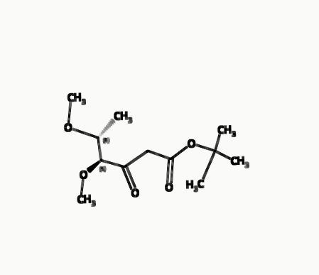 CO[C@H](C(=O)CC(=O)OC(C)(C)C)[C@@H](C)OC